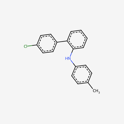 Cc1ccc(Nc2ccccc2-c2ccc(Cl)cc2)cc1